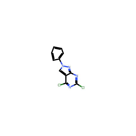 Clc1nc(Cl)c2cn(-c3ccccc3)nc2n1